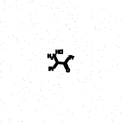 CC(C)C(=O)C(N)C(C)C.Cl